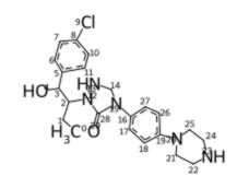 CCC(C(O)c1ccc(Cl)cc1)N1NCN(c2ccc(N3CCNCC3)cc2)C1=O